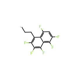 [CH2]CCc1c(F)c(F)c(F)c2c(F)c(F)cc(F)c12